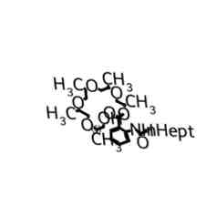 CCCCCCCC(=O)Nc1ccccc1C(=O)OC(C)COC(C)COC(C)COC(C)CO[C@@H](C)CO